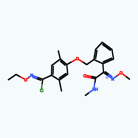 CCON=C(Cl)c1cc(C)c(OCc2ccccc2/C(=N\OC)C(=O)NC)cc1C